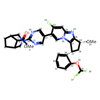 COC(=O)C1C2CCC1CN(c1ncc(-c3cn4c5c(nc4cc3F)[C@H](OC)C[C@@H]5c3ccccc3OC(F)F)cn1)C2